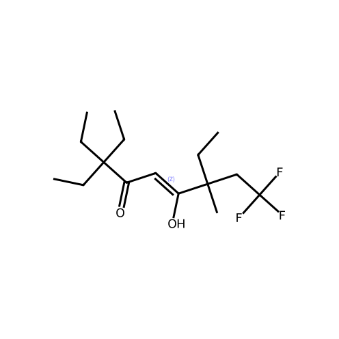 CCC(CC)(CC)C(=O)/C=C(\O)C(C)(CC)CC(F)(F)F